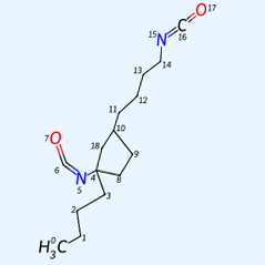 CCCCC1(N=C=O)CCC(CCCCN=C=O)C1